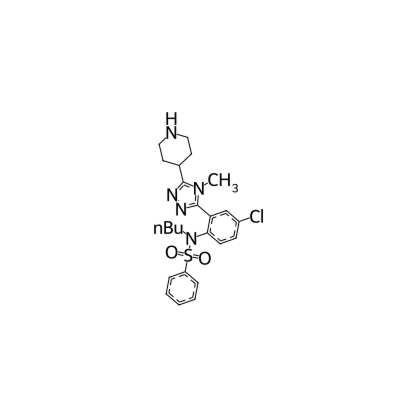 CCCCN(c1ccc(Cl)cc1-c1nnc(C2CCNCC2)n1C)S(=O)(=O)c1ccccc1